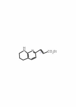 CCOC(=O)/C=C/c1ccc2c(n1)NCCC2